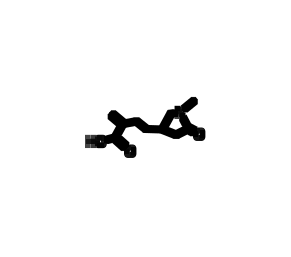 C=C(CCC1CC(=O)N(C)C1)C(=O)O